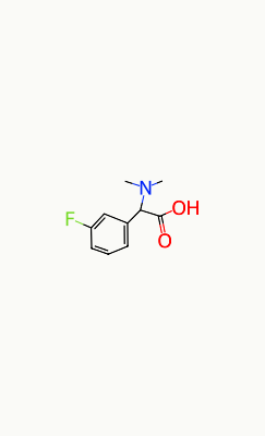 CN(C)C(C(=O)O)c1cccc(F)c1